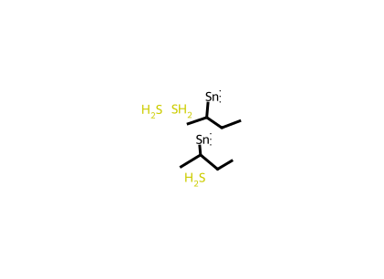 CC[CH](C)[Sn].CC[CH](C)[Sn].S.S.S